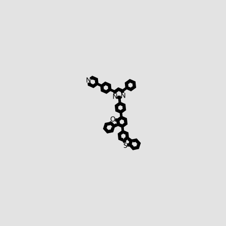 c1ccc(-c2cc(-c3ccc(-c4ccncc4)cc3)nc(-c3ccc(-c4ccc(-c5ccc6sc7ccccc7c6c5)c5c4oc4ccccc45)cc3)n2)cc1